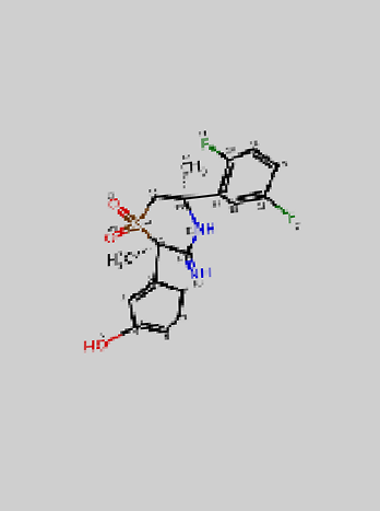 C[C@@]1(C2=CC(O)=CCC2)C(=N)N[C@](C)(c2cc(F)ccc2F)CS1(=O)=O